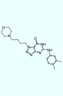 Cc1ccc(Nc2nc3nnn(CCCCN4CCOCC4)c3c(=O)[nH]2)cc1C